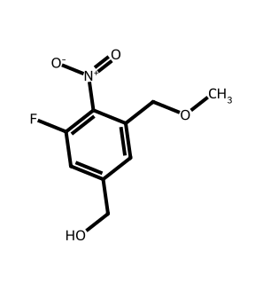 COCc1cc(CO)cc(F)c1[N+](=O)[O-]